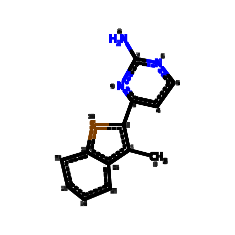 Cc1c(-c2ccnc(N)n2)sc2ccccc12